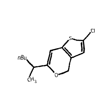 CCCCC(C)C1=Cc2sc(Cl)cc2CO1